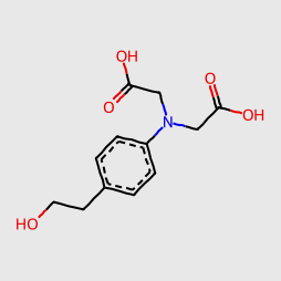 O=C(O)CN(CC(=O)O)c1ccc(CCO)cc1